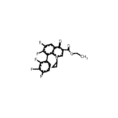 CCOC(=O)c1cn(C2CC2)c2c(-c3ccc(F)c(F)c3F)c(F)c(F)cc2c1=O